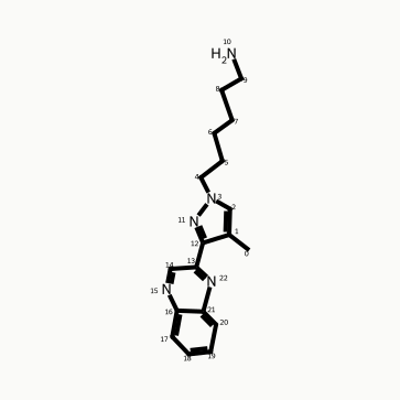 Cc1cn(CCCCCCN)nc1-c1cnc2ccccc2n1